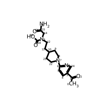 CC(=O)c1ccc(N2CCC(CCN(CC(N)=O)C(=O)O)CC2)nc1